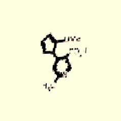 COC1=CC=CC1c1cc(C)ncc1C(=O)O